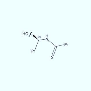 CC(C)C(=S)N[C@H](C(=O)O)C(C)C